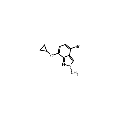 Cn1cc2c(Br)ccc(OC3CC3)c2n1